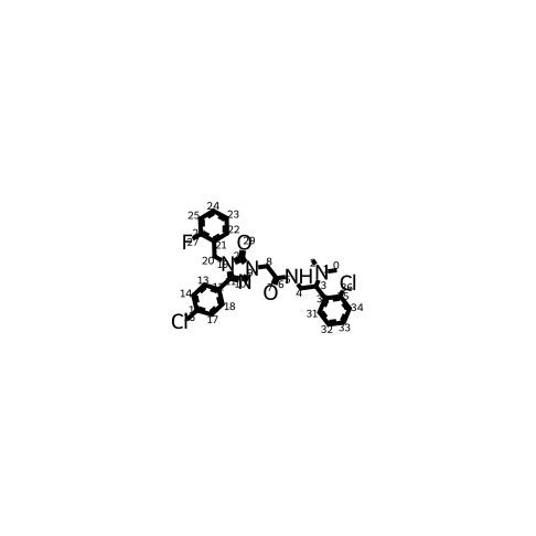 CN(C)C(CNC(=O)Cn1nc(-c2ccc(Cl)cc2)n(Cc2ccccc2F)c1=O)c1ccccc1Cl